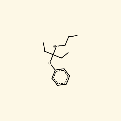 CCCNC(CC)(CC)Oc1ccccc1